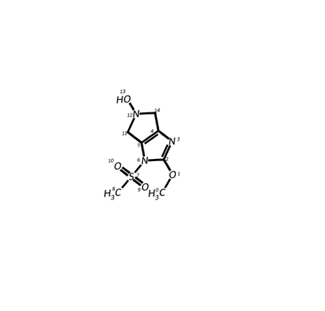 COc1nc2c(n1S(C)(=O)=O)CN(O)C2